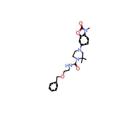 Cn1c(=O)oc2cc(N3CCN(C(=O)NCCOCc4ccccc4)C(C)(C)C3)ccc21